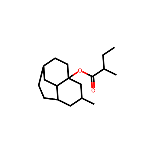 CCC(C)C(=O)OC12CCC3CCC(CC(C)C1)C2C3